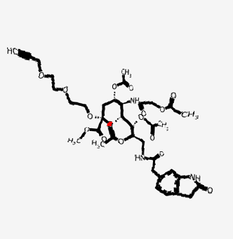 C#CCOCCOCCO[C@]1(C(=O)OC)C[C@H](OC(C)=O)[C@@H](NC(=O)COC(C)=O)[C@H]([C@H](OC(C)=O)[C@@H](CNC(=O)Cc2ccc3c(c2)NC(=O)C3)OC(C)=O)O1